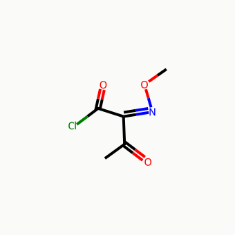 CO/N=C(/C(C)=O)C(=O)Cl